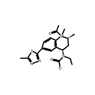 CCN(C(=O)[O-])[C@@H]1C[C@H](C)[N+](C)(C(C)=O)c2ccc(-c3nnc(C)s3)cc21